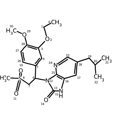 CCOc1cc(C(CS(C)(=O)=O)n2c(=O)[nH]c3cc(CC(C)C)cnc32)ccc1OC